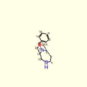 c1ccc(CN2C3CCNCC2COC3)cc1